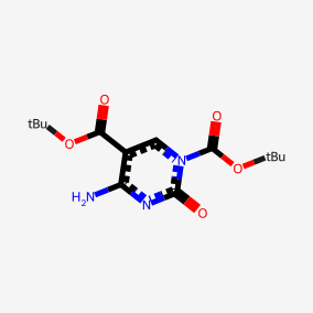 CC(C)(C)OC(=O)c1cn(C(=O)OC(C)(C)C)c(=O)nc1N